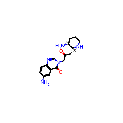 Nc1ccc2ncn(CC(=O)C[C@H]3NCCC[C@@H]3N)c(=O)c2c1